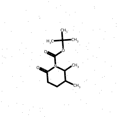 CC1CCC(=O)N(C(=O)OC(C)(C)C)C1C